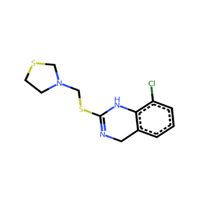 Clc1cccc2c1NC(SCN1CCSC1)=NC2